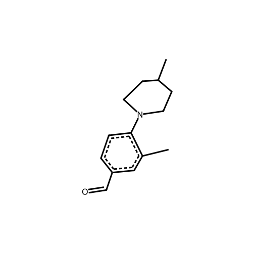 Cc1cc(C=O)ccc1N1CCC(C)CC1